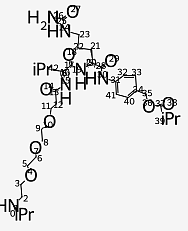 CC(C)NCCOCCOCCOCCC(=O)N[C@H](C(=O)N[C@@H](CCCNC(N)=O)C(=O)Nc1ccc(COC(=O)C(C)C)cc1)C(C)C